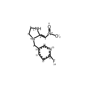 O=[N+]([O-])/C=C1\NCCN1Cc1ccc(F)nc1